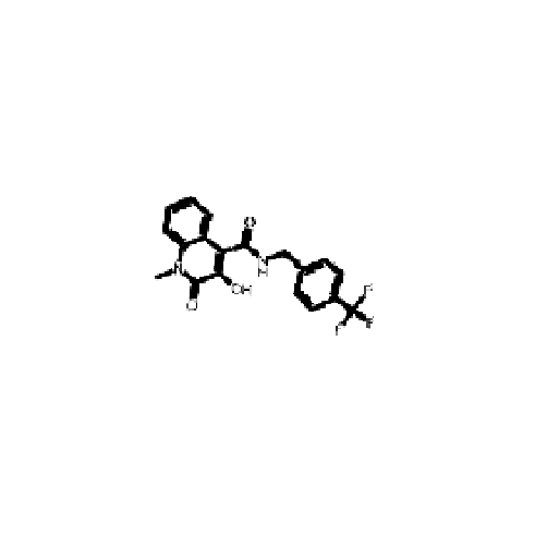 Cn1c(=O)c(O)c(C(=O)NCc2ccc(C(F)(F)F)cc2)c2ccccc21